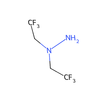 NN(CC(F)(F)F)CC(F)(F)F